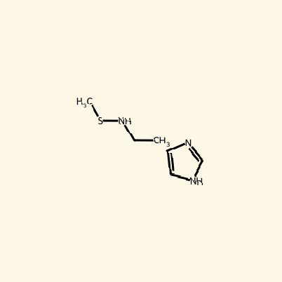 CCNSC.c1c[nH]cn1